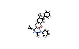 Cc1nc(C2CC2)c(Cc2ccc(-c3ccccc3)c(C#N)c2)c(=O)n1-c1ccccc1